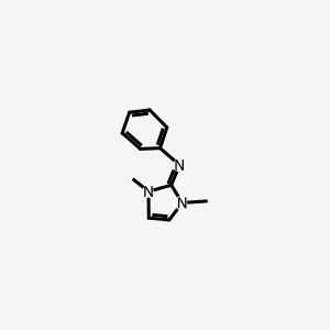 Cn1ccn(C)c1=Nc1ccccc1